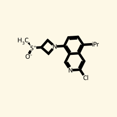 CC(C)c1ccc(N2CC([S@+](C)[O-])C2)c2cnc(Cl)cc12